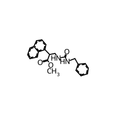 COC(=O)C(CNC(=O)NCc1ccccc1)c1cccc2ccccc12